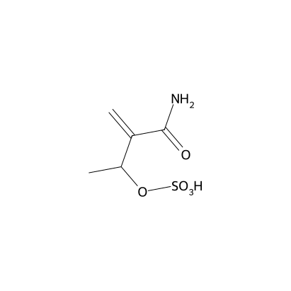 C=C(C(N)=O)C(C)OS(=O)(=O)O